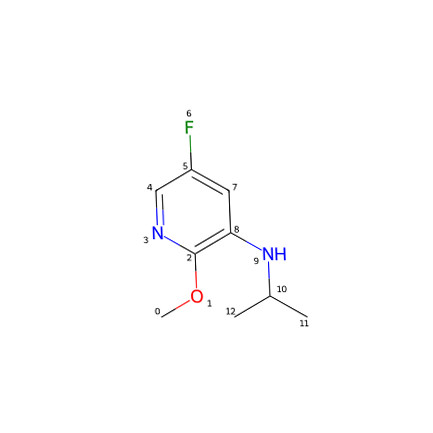 COc1ncc(F)cc1NC(C)C